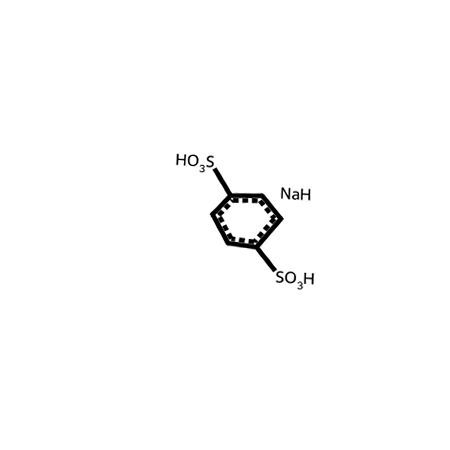 O=S(=O)(O)c1ccc(S(=O)(=O)O)cc1.[NaH]